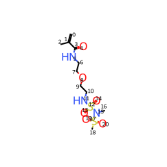 C=C(C)C(=O)NCCOCCNS(=O)(=O)N(C)S(C)(=O)=O